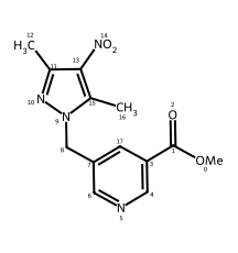 COC(=O)c1cncc(Cn2nc(C)c([N+](=O)[O-])c2C)c1